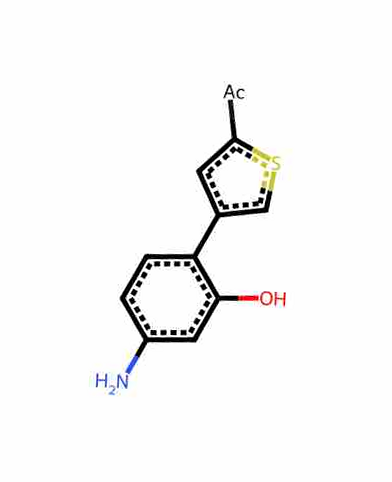 CC(=O)c1cc(-c2ccc(N)cc2O)cs1